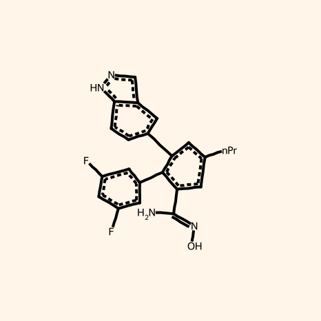 CCCc1cc(/C(N)=N/O)c(-c2cc(F)cc(F)c2)c(-c2ccc3[nH]ncc3c2)c1